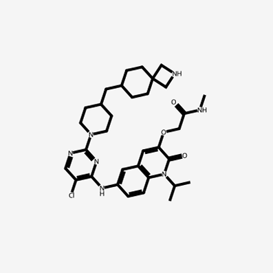 CNC(=O)COc1cc2cc(Nc3nc(N4CCC(CC5CCC6(CC5)CNC6)CC4)ncc3Cl)ccc2n(C(C)C)c1=O